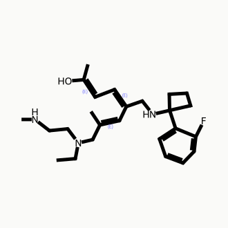 CCN(CCNC)C/C(C)=C/C(=C\C=C(/C)O)CNC1(c2ccccc2F)CCC1